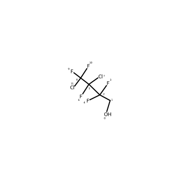 OCC(F)(F)C(F)(Cl)C(F)(F)Cl